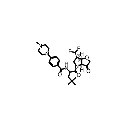 CN1CCN(c2ccc(C(=O)NC(CC(C)(C)C)C(=O)N3C[C@@H](C(F)F)[C@H]4OCC(=O)[C@H]43)cc2)CC1